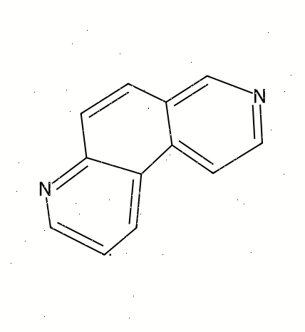 [c]1cnc2ccc3cnccc3c2c1